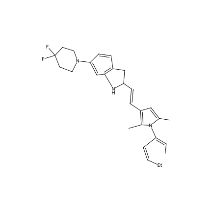 C/C=C(\C=C/CC)n1c(C)cc(/C=C/C2Cc3ccc(N4CCC(F)(F)CC4)cc3N2)c1C